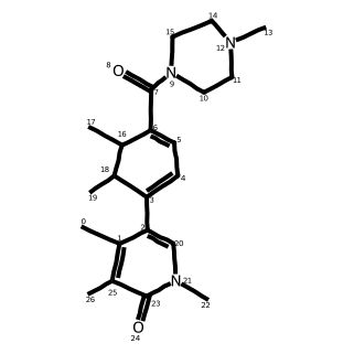 Cc1c(C2=CC=C(C(=O)N3CCN(C)CC3)C(C)C2C)cn(C)c(=O)c1C